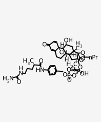 CCCC1O[C@@]2(C(=O)COP(=O)(O)OP(=O)(O)OCc3ccc(NC(=O)[C@@H](C)CCCNC(N)=O)cc3)[C@@]3(C)C[C@H](O)[C@H]4[C@@H](CCC5=CC(=O)C=C[C@@]54C)[C@@H]3C[C@]2(C)O1